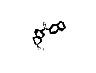 CN1CCc2ccc(Nc3ccc4ccccc4c3)cc2C1